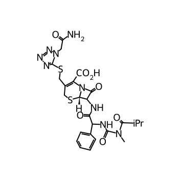 CC(C)C(=O)N(C)C(=O)NC(C(=O)NC1C(=O)N2C(C(=O)O)=C(CSc3nnnn3CC(N)=O)CS[C@@H]12)c1ccccc1